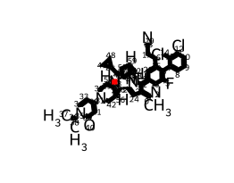 Cc1nc2c(F)c(-c3cccc(Cl)c3Cl)c(CCC#N)cc2c2c1cc([C@H]1[C@H]3C[C@H](CN(c4ccn(C(C)C)c(=O)c4)C3)N1C(=O)C1CC1)n2[C@H]1[C@H]2CN[C@@H]1C2